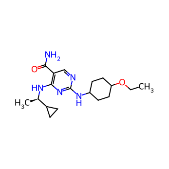 CCOC1CCC(Nc2ncc(C(N)=O)c(N[C@H](C)C3CC3)n2)CC1